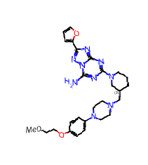 COCCOc1ccc(N2CCN(C[C@@H]3CCCN(c4nc(N)n5nc(-c6ccco6)nc5n4)C3)CC2)cc1